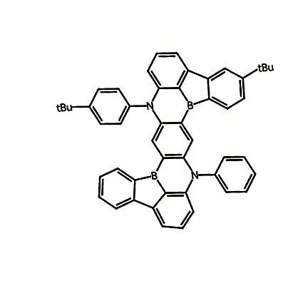 CC(C)(C)c1ccc(N2c3cc4c(cc3B3c5ccc(C(C)(C)C)cc5-c5cccc2c53)N(c2ccccc2)c2cccc3c2B4c2ccccc2-3)cc1